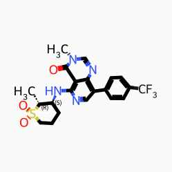 C[C@@H]1[C@@H](Nc2ncc(-c3ccc(C(F)(F)F)cc3)c3ncn(C)c(=O)c23)CCCS1(=O)=O